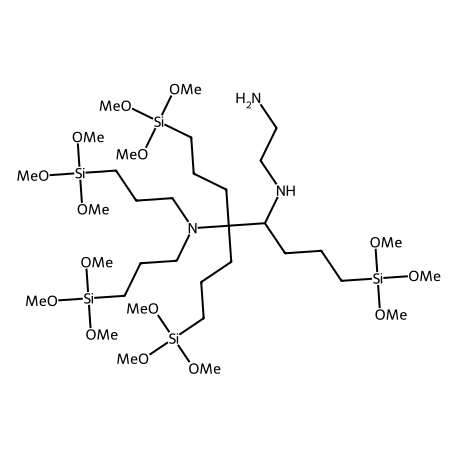 CO[Si](CCCC(NCCN)C(CCC[Si](OC)(OC)OC)(CCC[Si](OC)(OC)OC)N(CCC[Si](OC)(OC)OC)CCC[Si](OC)(OC)OC)(OC)OC